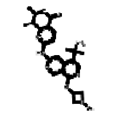 CC(=O)N1CC(Oc2ncc(C(C)(C)N)c3cc(Nc4ccc5c(n4)[C@@H](C)C(C)OC5=O)ncc23)C1